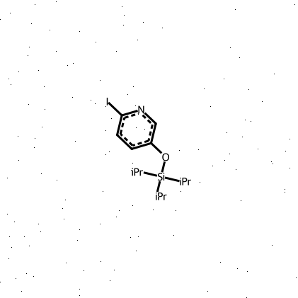 CC(C)[Si](Oc1ccc(I)nc1)(C(C)C)C(C)C